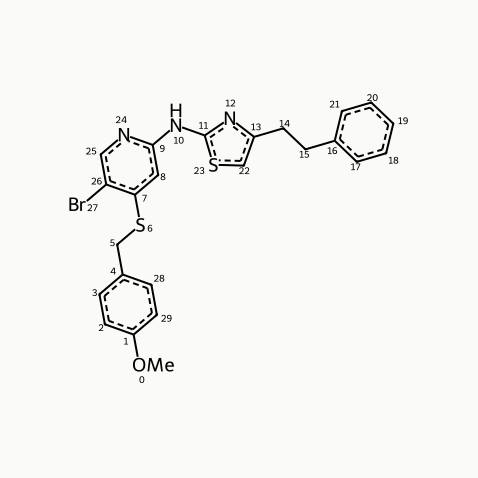 COc1ccc(CSc2cc(Nc3nc(CCc4ccccc4)cs3)ncc2Br)cc1